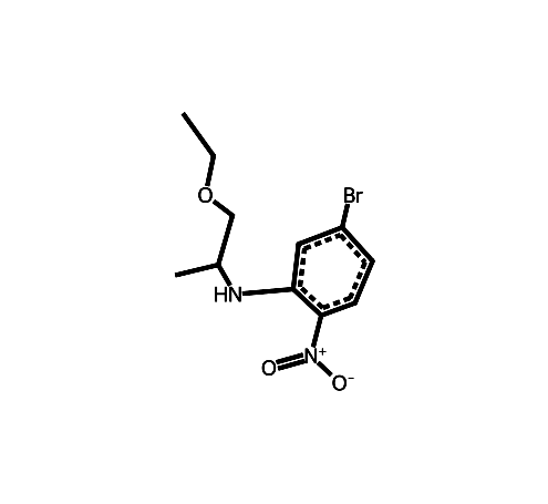 CCOCC(C)Nc1cc(Br)ccc1[N+](=O)[O-]